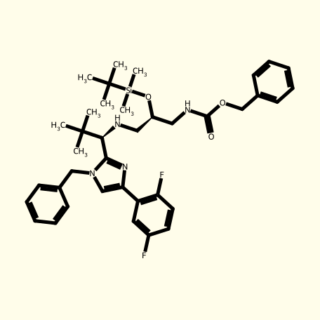 CC(C)(C)[C@@H](NC[C@H](CNC(=O)OCc1ccccc1)O[Si](C)(C)C(C)(C)C)c1nc(-c2cc(F)ccc2F)cn1Cc1ccccc1